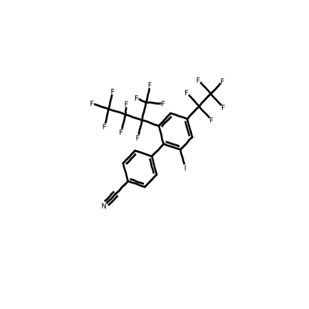 N#Cc1ccc(-c2c(I)[c]c(C(F)(F)C(F)(F)F)cc2C(F)(C(F)(F)F)C(F)(F)C(F)(F)F)cc1